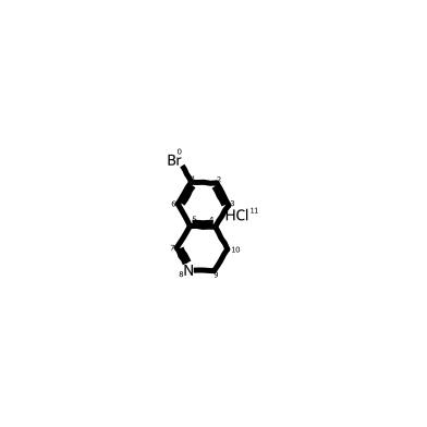 Brc1ccc2c(c1)C=NCC2.Cl